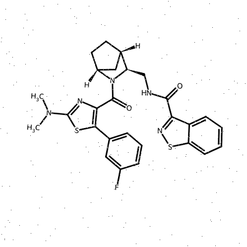 CN(C)c1nc(C(=O)N2[C@@H]3CC[C@@H](C3)[C@H]2CNC(=O)c2nsc3ccccc23)c(-c2cccc(F)c2)s1